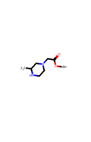 CC(C)(C)OC(=O)CN1CCNC(C(F)(F)F)C1